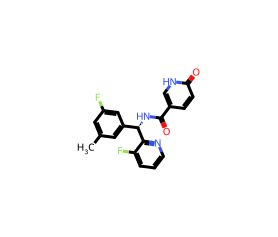 Cc1cc(F)cc([C@H](NC(=O)c2ccc(=O)[nH]c2)c2ncccc2F)c1